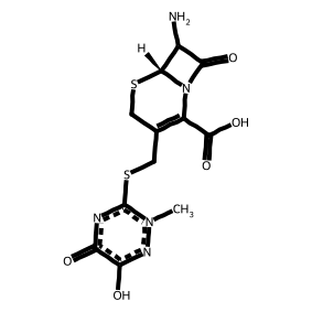 Cn1nc(O)c(=O)nc1SCC1=C(C(=O)O)N2C(=O)C(N)[C@H]2SC1